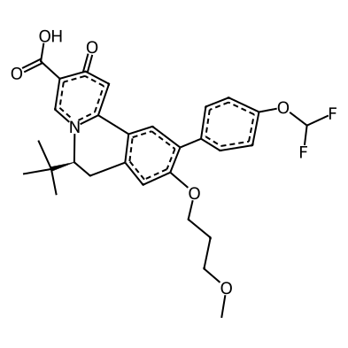 COCCCOc1cc2c(cc1-c1ccc(OC(F)F)cc1)-c1cc(=O)c(C(=O)O)cn1[C@H](C(C)(C)C)C2